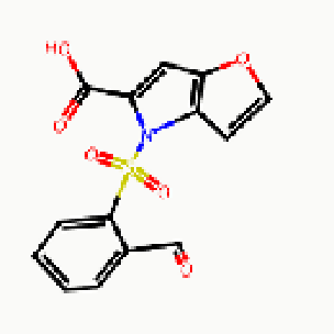 O=Cc1ccccc1S(=O)(=O)n1c(C(=O)O)cc2occc21